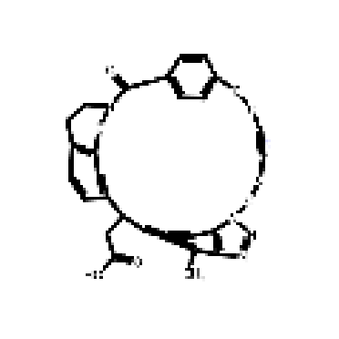 Cc1c2ccc3c1nnn3CC/C=C\CCc1ccc(cc1)C(=O)N1CCc3ccc(cc3C1)C2CC(=O)O